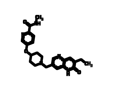 CCc1cc2ncc(CN3CCC(Oc4ccc(C(=O)NC)nc4)CC3)cc2[nH]c1=O